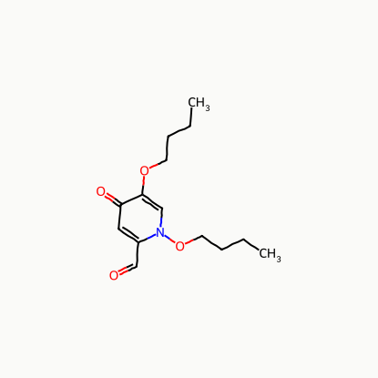 CCCCOc1cn(OCCCC)c(C=O)cc1=O